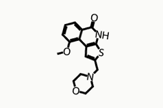 COc1cccc2c(=O)[nH]c3sc(CN4CCOCC4)cc3c12